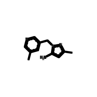 Cc1cncc(Cn2nc(C)cc2N)c1